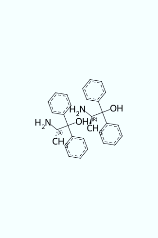 C[C@@H](N)C(O)(c1ccccc1)c1ccccc1.C[C@H](N)C(O)(c1ccccc1)c1ccccc1